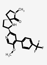 COc1cnc([C@H]2CC[C@@]3(CCN(C)C3=O)N2)cc1-c1ccc(C(F)(F)F)cc1